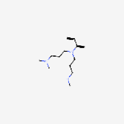 C=CC(=C)N(CCCNC)CCCN(C)C